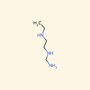 [CH2]CNCCNCN